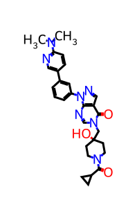 CN(C)c1ccc(-c2cccc(-n3ncc4c(=O)n(CC5(O)CCN(C(=O)C6CC6)CC5)cnc43)c2)cn1